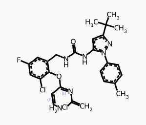 C=C(Cl)/N=C(\C=C/N)Oc1c(Cl)cc(F)cc1CNC(=O)Nc1cc(C(C)(C)C)nn1-c1ccc(C)cc1